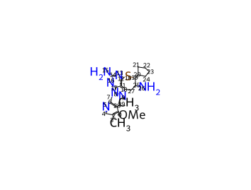 COc1c(C)cnc(Cn2nc3c4c(nc(N)nc42)SC(C2CCCC2)C(N)C3)c1C